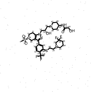 CS(=O)(=O)N1CCc2c(c(-c3ccc(C(F)(F)F)c(SCCN4CCCC(F)(F)C4)c3)nn2C[C@@H](O)CN2CCC(NC(=O)CO)CC2)C1